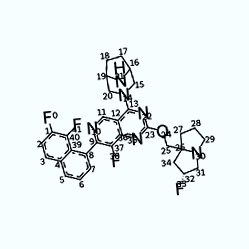 Fc1ccc2cccc(-c3ncc4c(N5CC6CCC(C5)N6)nc(OCC56CCCN5C[C@H](F)C6)nc4c3F)c2c1F